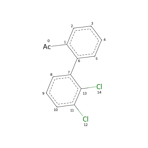 CC(=O)c1ccccc1-c1cccc(Cl)c1Cl